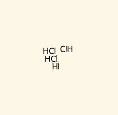 Cl.Cl.Cl.I